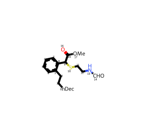 CCCCCCCCCCCCc1ccccc1C(SCCNC=O)C(=O)OC